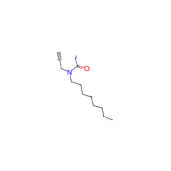 C#CCN(CCCCCCCC)C(=O)I